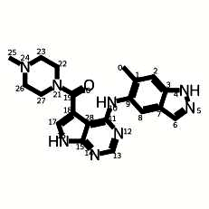 Cc1cc2[nH]ncc2cc1Nc1ncnc2[nH]cc(C(=O)N3CCN(C)CC3)c12